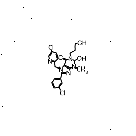 CN1c2nc(-c3cccc(Cl)c3)n(Cc3ccc(Cl)cn3)c2C(=O)N(CCCO)C1O